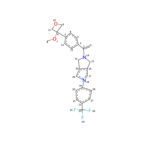 C=C(c1ccc(C2(OC)COC2)cc1)N1Cc2cn(-c3ccc(C(F)(F)F)cc3)cc2C1